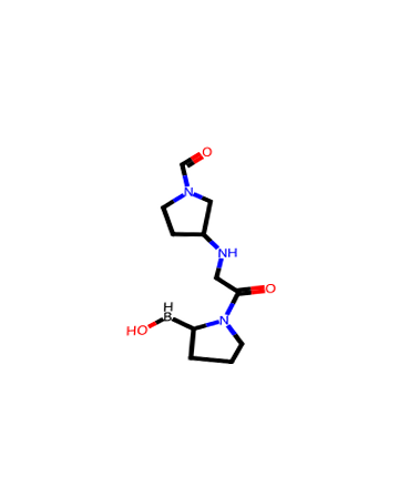 O=CN1CCC(NCC(=O)N2CCCC2BO)C1